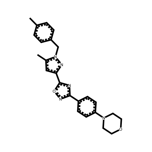 Cc1ccc(Cn2nc(-c3nc(-c4ccc(N5CCOCC5)cc4)no3)cc2C)cc1